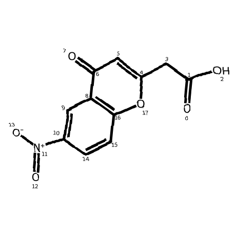 O=C(O)Cc1cc(=O)c2cc([N+](=O)[O-])ccc2o1